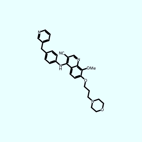 COc1c(OCCCN2CCOCC2)ccc2c(Nc3ccc(Cc4cccnc4)cc3)c(C#N)cnc12